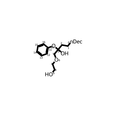 CCCCCCCCCCCCC(O)(COCCO)Oc1ccccc1